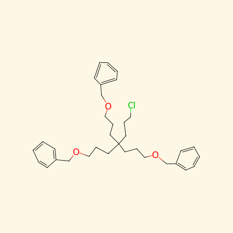 ClCCCC(CCCOCc1ccccc1)(CCCOCc1ccccc1)CCCOCc1ccccc1